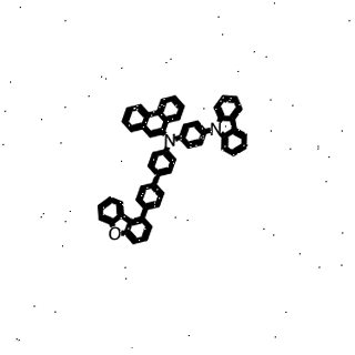 c1ccc2c(c1)cc(N(c1ccc(-c3ccc(-c4cccc5oc6ccccc6c45)cc3)cc1)c1ccc(-n3c4ccccc4c4ccccc43)cc1)c1ccccc12